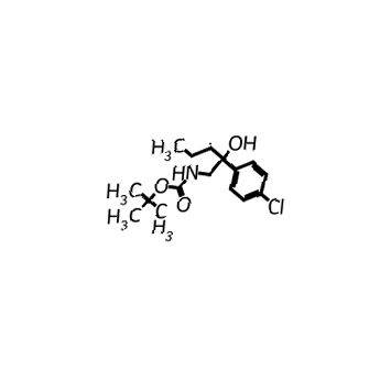 CC[CH]C(O)(CNC(=O)OC(C)(C)C)c1ccc(Cl)cc1